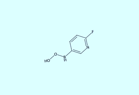 OOBc1ccc(F)nc1